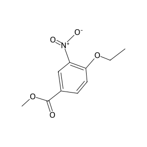 CCOc1ccc(C(=O)OC)cc1[N+](=O)[O-]